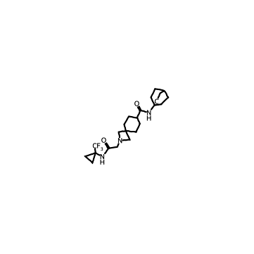 O=C(CN1CC2(CCC(C(=O)NC34CCC(CC3)CC4)CC2)C1)NC1(C(F)(F)F)CC1